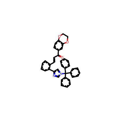 O=C(C=Cc1ccccc1-c1cn(C(c2ccccc2)(c2ccccc2)c2ccccc2)cn1)c1ccc2c(c1)OCCO2